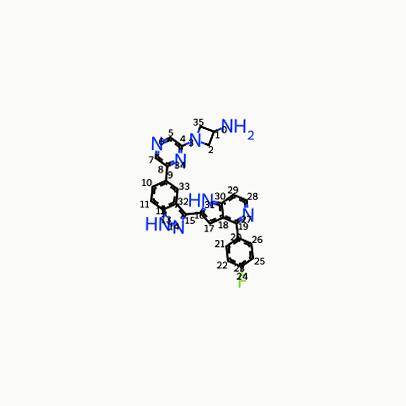 NC1CN(c2cncc(-c3ccc4[nH]nc(-c5cc6c(-c7ccc(F)cc7)nccc6[nH]5)c4c3)n2)C1